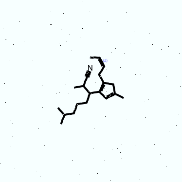 C/C=C\CC1=C(C(CCCC(C)C)C(C)C#N)C=C(C)C1